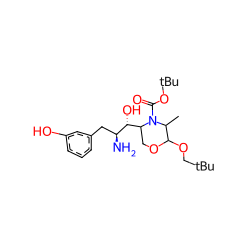 CC1C(OCC(C)(C)C)OCC([C@@H](O)[C@@H](N)Cc2cccc(O)c2)N1C(=O)OC(C)(C)C